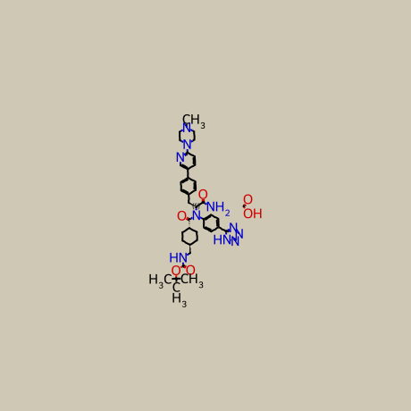 CN1CCN(c2ccc(-c3ccc(C[C@@H](C(N)=O)N(c4ccc(-c5nnn[nH]5)cc4)C(=O)[C@H]4CC[C@H](CNC(=O)OC(C)(C)C)CC4)cc3)cn2)CC1.O=CO